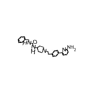 Nc1cccc(-c2ccc(CCN3CCC(NC(=O)NCc4ccccc4)CC3)cc2)n1